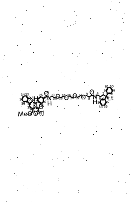 CCC(CCCNC(=O)CCOCCOCCOCCOCCNC(=O)c1ccc([C@H]2c3[nH]c4ccccc4c3C[C@H](C(=O)OC)N2C(=O)CCl)cc1)(c1ccccc1)c1ccccc1